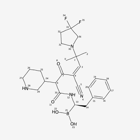 CC(C)(C=C(C#N)C(=O)C(C(=O)N[C@@H](Cc1ccccc1)B(O)O)C1CCCNC1)N1CCC(F)(F)C1